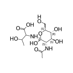 CC(=O)N[C@@H]1C(O)O[C@@H](CO)[C@H](O)[C@H]1O.CC(O)C(N)C(=O)O